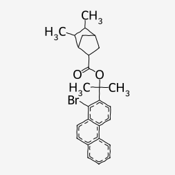 CC1C2CC(C(=O)OC(C)(C)c3ccc4c(ccc5ccccc54)c3Br)C(C2)C1C